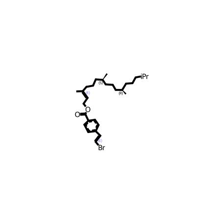 C/C(=C\COC(=O)c1ccc(/C=C/Br)cc1)CCC[C@@H](C)CCC[C@H](C)CCCC(C)C